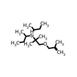 C=C(C)COCC(C)(C)[SiH](C(C)CC)C(C)CC